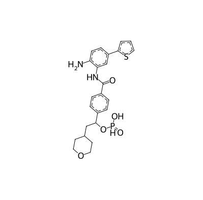 Nc1ccc(-c2cccs2)cc1NC(=O)c1ccc(C(CC2CCOCC2)O[PH](=O)O)cc1